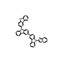 c1cnc2c(c1)oc1ccc(-n3c4ccccc4c4cc(-c5ccc6c(c5)c5ccccc5n6-c5cn6ccccc6n5)ccc43)cc12